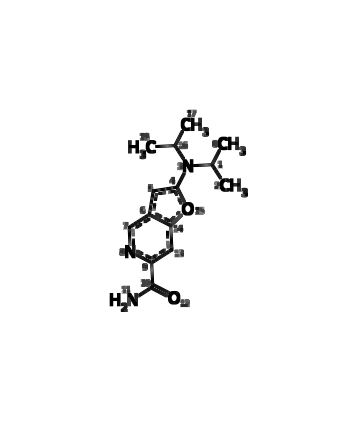 CC(C)N(c1cc2cnc(C(N)=O)cc2o1)C(C)C